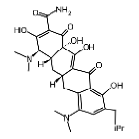 CC(C)Cc1cc(N(C)C)c2c(c1O)C(=O)C1=C(O)[C@]3(O)C(=O)C(C(N)=O)=C(O)[C@H](N(C)C)[C@H]3C[C@H]1C2